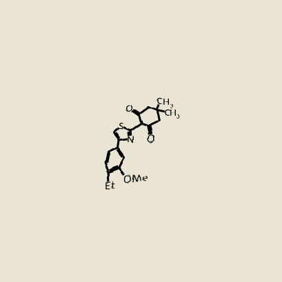 CCc1ccc(-c2csc(C3C(=O)CC(C)(C)CC3=O)n2)cc1OC